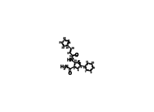 NC(=O)c1cc(-c2ccccc2)sc1NC(=O)C=Cc1cccs1